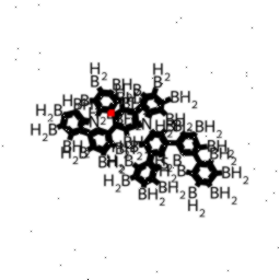 Bc1c(B)c(B)c(-c2c(B)c(B)c(B)c(-c3c(B)c(-n4c5c(B)c(B)c(B)c(B)c5c5c(B)c(B)c(-c6c(B)c(B)c(B)c7c8c(B)c(B)c(B)c(B)c8n(-c8c(B)c(B)c(B)c(B)c8B)c67)c(B)c54)c(B)c4c3sc3c(B)c(B)c(B)c(B)c34)c2B)c(B)c1B